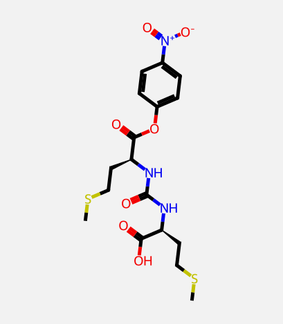 CSCC[C@H](NC(=O)N[C@@H](CCSC)C(=O)Oc1ccc([N+](=O)[O-])cc1)C(=O)O